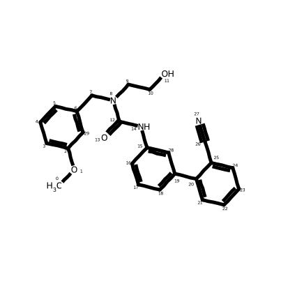 COc1cccc(CN(CCO)C(=O)Nc2cccc(-c3ccccc3C#N)c2)c1